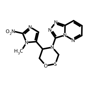 Cn1c(C2COSCN2c2nnc3cccnn23)cnc1[N+](=O)[O-]